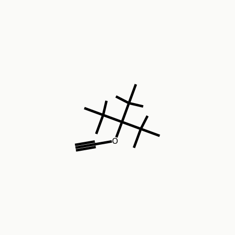 C#COC(C(C)(C)C)(C(C)(C)C)C(C)(C)C